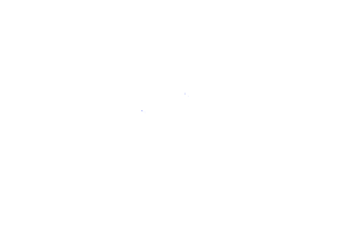 CC1=NC2CCCCC2N1